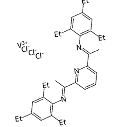 CCc1cc(CC)c(N=C(C)c2cccc(C(C)=Nc3c(CC)cc(CC)cc3CC)n2)c(CC)c1.[Cl-].[Cl-].[Cl-].[V+3]